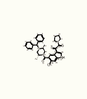 C[C@@H]1CN(C(c2ccccc2)c2ccccc2)[C@@H](C)CN1C(=O)c1cc2c(C(=O)C(=O)N3CCCC3)c[nH]c2cc1Cl